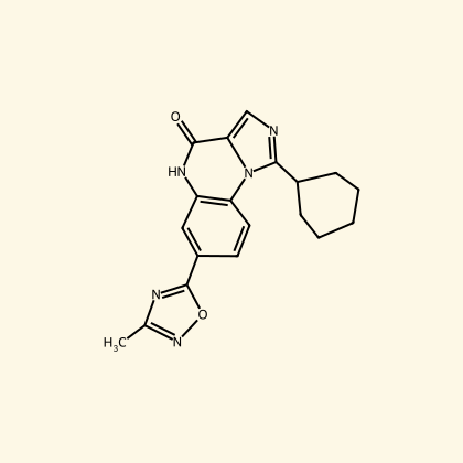 Cc1noc(-c2ccc3c(c2)[nH]c(=O)c2cnc(C4CCCCC4)n23)n1